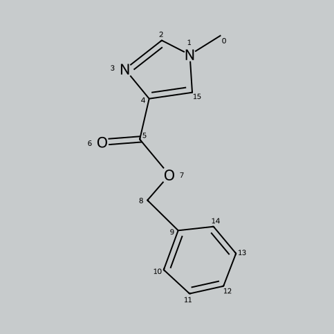 Cn1cnc(C(=O)OCc2ccccc2)c1